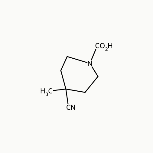 CC1(C#N)CCN(C(=O)O)CC1